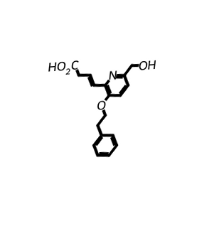 O=C(O)CC=Cc1nc(CO)ccc1OCCc1ccccc1